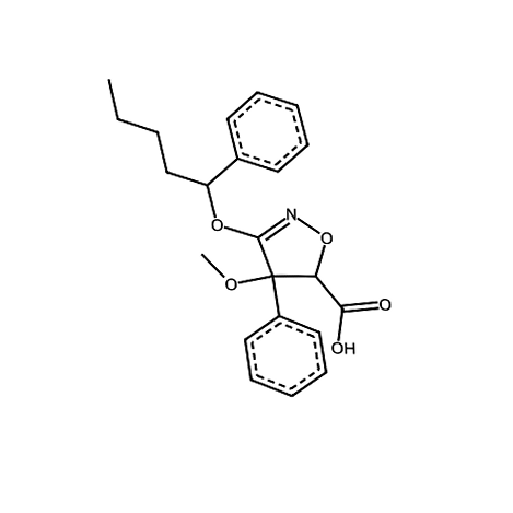 CCCCC(OC1=NOC(C(=O)O)C1(OC)c1ccccc1)c1ccccc1